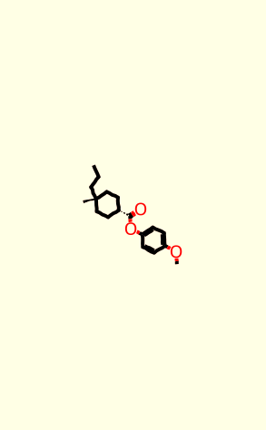 CCC[C@]1(C)CC[C@H](C(=O)Oc2ccc(OC)cc2)CC1